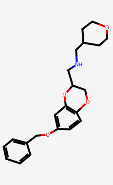 c1ccc(COc2ccc3c(c2)OC(CNCC2CCOCC2)CO3)cc1